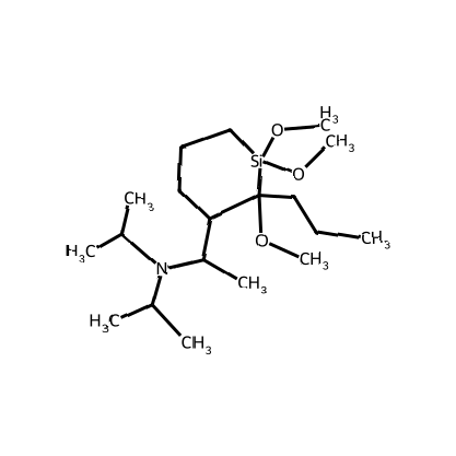 CCCC1(OC)C(C(C)N(C(C)C)C(C)C)CCC[Si]1(OC)OC